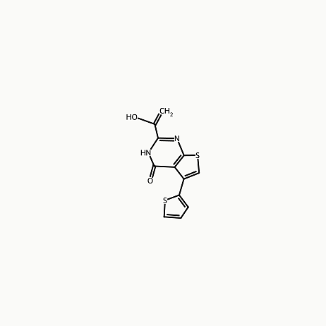 C=C(O)c1nc2scc(-c3cccs3)c2c(=O)[nH]1